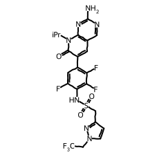 CC(C)n1c(=O)c(-c2cc(F)c(NS(=O)(=O)Cc3ccn(CC(F)(F)F)n3)c(F)c2F)cc2cnc(N)nc21